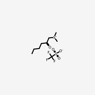 CCCCC(=O)C[S+](C)C.O=S(=O)([O-])C(F)(F)F